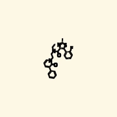 CCN(CCn1cccc(-c2ccccc2)c1=O)C(=O)c1nc(C)sc1-c1ccccc1F